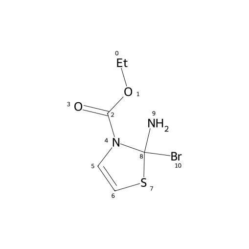 CCOC(=O)N1C=CSC1(N)Br